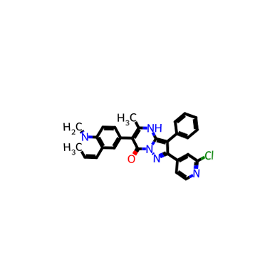 C=Nc1ccc(-c2c(C)[nH]c3c(-c4ccccc4)c(-c4ccnc(Cl)c4)nn3c2=O)cc1/C=C\C